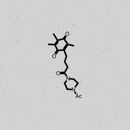 CC(=O)N1CCN(C(=O)CCCC2=C(C)C(=O)C(C)=C(C)C2=O)CC1